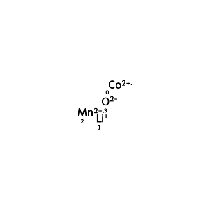 [Co+2].[Li+].[Mn+2].[O-2]